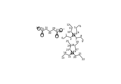 CCC[N+](CCC)(CCC)CCC.CCC[N+](CCC)(CCC)CCC.O=C([O-])CCCC(=O)[O-]